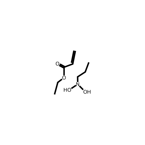 C=CC(=O)OCC.CCCN(O)O